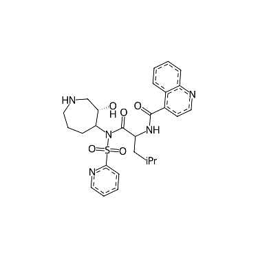 CC(C)CC(NC(=O)c1ccnc2ccccc12)C(=O)N(C1CCCNC[C@@H]1O)S(=O)(=O)c1ccccn1